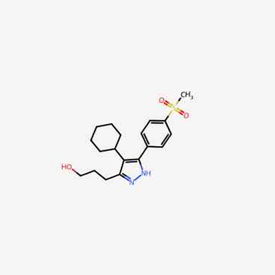 CS(=O)(=O)c1ccc(-c2[nH]nc(CCCO)c2C2CCCCC2)cc1